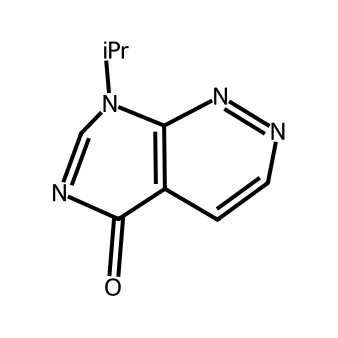 CC(C)n1cnc(=O)c2ccnnc21